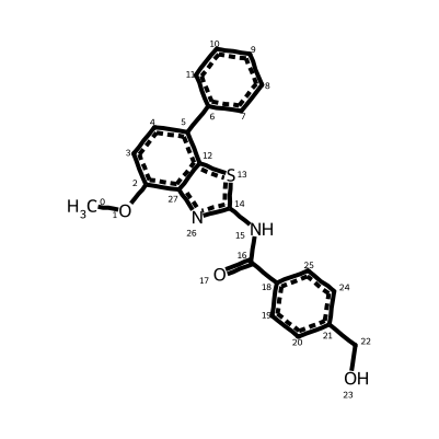 COc1ccc(-c2ccccc2)c2sc(NC(=O)c3ccc(CO)cc3)nc12